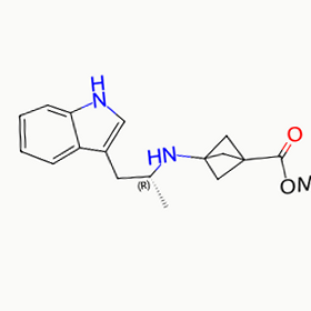 COC(=O)C12CC(N[C@H](C)Cc3c[nH]c4ccccc34)(C1)C2